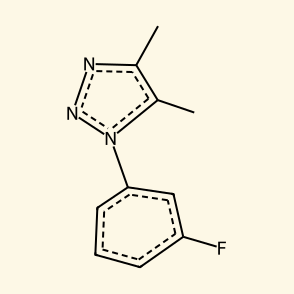 Cc1nnn(-c2cccc(F)c2)c1C